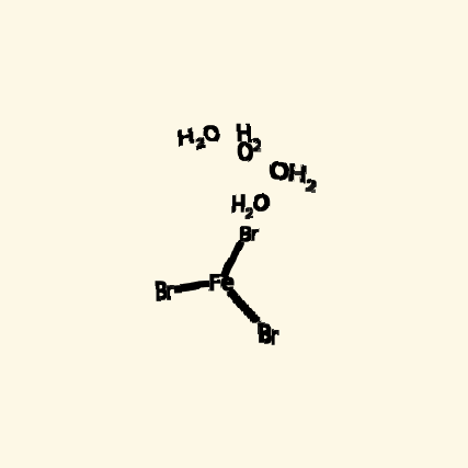 O.O.O.O.[Br][Fe]([Br])[Br]